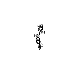 CCOC(=O)c1ccc2c(c1)CC(NCCNc1ccc(Cl)nn1)C2